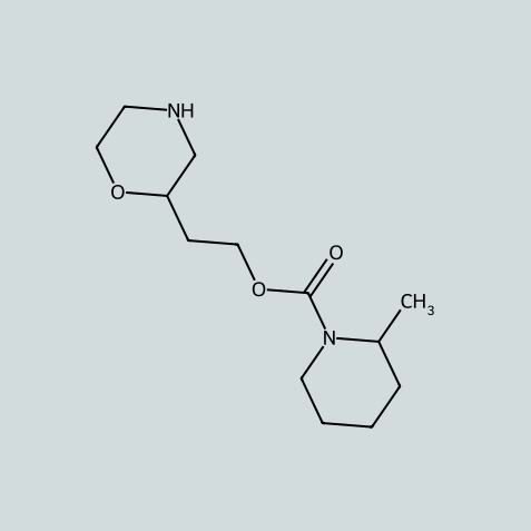 CC1CCCCN1C(=O)OCCC1CNCCO1